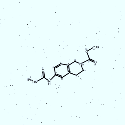 CC(C)NC(=O)Nc1ccc2c(c1)CCN(C(=O)OC(C)(C)C)C2